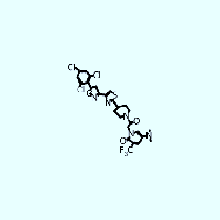 CN(C)c1cc(C(F)(F)F)c(=O)n(CC(=O)N2CCC(c3nc(C4=NOC(c5c(Cl)cc(Cl)cc5Cl)C4)cs3)CC2)c1